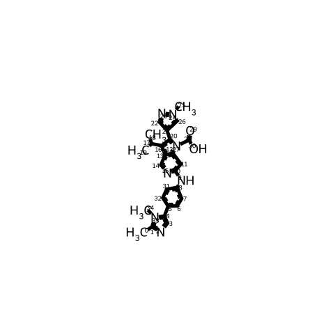 Cc1ncc(-c2ccc(Nc3cc4c(cn3)c(C(C)C)c(-c3cnn(C)c3)n4C(=O)O)cc2)n1C